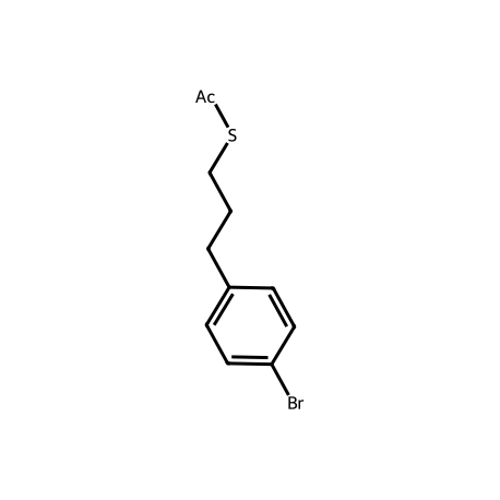 CC(=O)SCCCc1ccc(Br)cc1